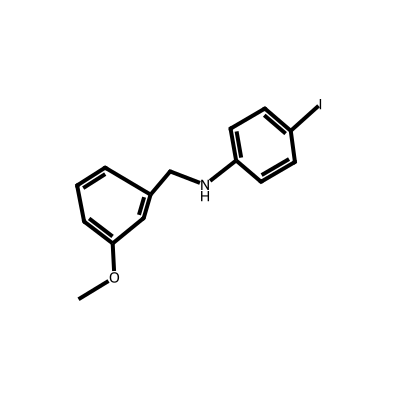 COc1cccc(CNc2ccc(I)cc2)c1